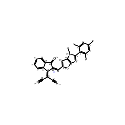 Cc1cc(C)c(-c2nc3sc(/C=C4\C(=O)c5ccccc5C4=C(C#N)C#N)cc3n2C)c(C)c1